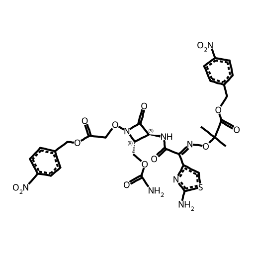 CC(C)(ON=C(C(=O)N[C@@H]1C(=O)N(OCC(=O)OCc2ccc([N+](=O)[O-])cc2)[C@H]1COC(N)=O)c1csc(N)n1)C(=O)OCc1ccc([N+](=O)[O-])cc1